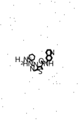 N[C@H]1CCCC[C@H]1Nc1ncc2scc(C(=O)Nc3ccc4ncccc4c3)c2n1